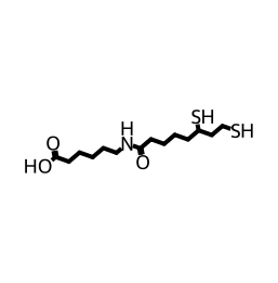 O=C(O)CCCCCNC(=O)CCCCC(S)CCS